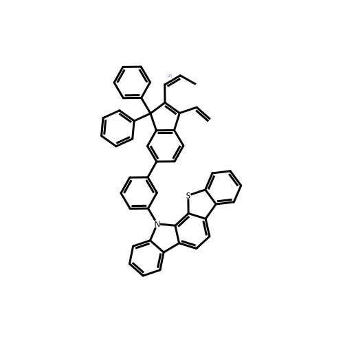 C=CC1=C(/C=C\C)C(c2ccccc2)(c2ccccc2)c2cc(-c3cccc(-n4c5ccccc5c5ccc6c7ccccc7sc6c54)c3)ccc21